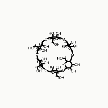 CCC1OC2OC3C(CO)OC(OC4C(CO)OC(OC5C(CO)OC(OC6C(CO)OC(OC7C(CO)OC(OC1C(O)C2O)C(O)C7O)C(O)C6O)C(O)C5O)C(O)C4O)C(O)C3O